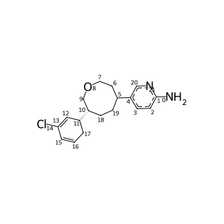 Nc1ccc(C2CCOC[C@@H](C3C=C(Cl)C=CC3)CC2)cn1